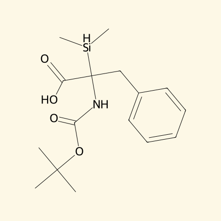 C[SiH](C)C(Cc1ccccc1)(NC(=O)OC(C)(C)C)C(=O)O